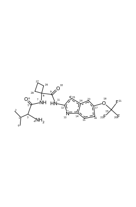 CC(C)C(N)C(=O)NC1(C(=O)Nc2nc3ccc(OC(F)(F)F)cc3s2)CCC1